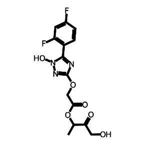 CC(OC(=O)COc1nc(-c2ccc(F)cc2F)n(O)n1)C(=O)CO